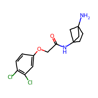 NC12CCC(NC(=O)COc3ccc(Cl)c(Cl)c3)(C1)C2